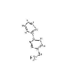 FC(F)(F)Sc1ccc(-c2cc[c]cc2)cc1